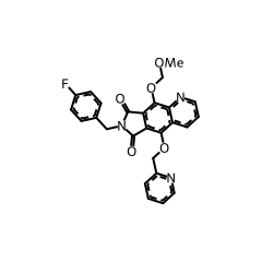 COCOc1c2c(c(OCc3ccccn3)c3cccnc13)C(=O)N(Cc1ccc(F)cc1)C2=O